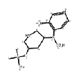 CC(C)(C)[Si](C)(C)OC1CNCC(N(C(=O)O)c2ccncc2N)C1